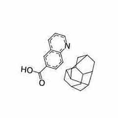 C1C2CC3C4CC5CC(C14)C(C2)C3C5.O=C(O)c1ccc2ncccc2c1